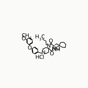 CCCCN1C(=O)[C@@H](CC2(O)CCCCC2)NC(=O)C12CCN(Cc1ccc(Oc3cccc(OC)c3)cc1)CC2.Cl